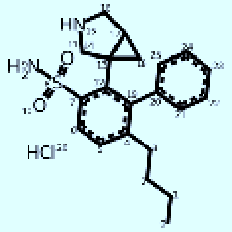 CCCCc1ccc(S(N)(=O)=O)c(C23CNCC2C3)c1-c1ccccc1.Cl